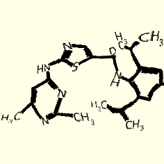 Cc1cc(Nc2ncc(C(=O)Nc3c(C(C)C)cccc3C(C)C)s2)nc(C)n1